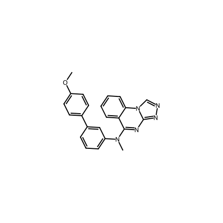 COc1ccc(-c2cccc(N(C)c3nc4nncn4c4ccccc34)c2)cc1